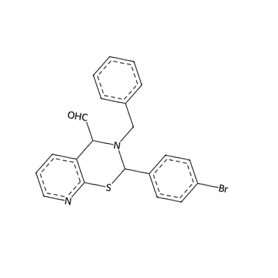 O=CC1c2cccnc2SC(c2ccc(Br)cc2)N1Cc1ccccc1